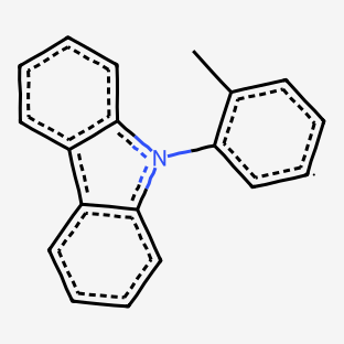 Cc1cc[c]cc1-n1c2ccccc2c2ccccc21